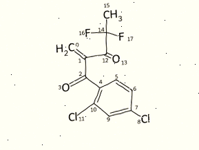 C=C(C(=O)c1ccc(Cl)cc1Cl)C(=O)C(C)(F)F